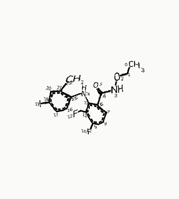 CCONC(=O)c1ccc(F)c(F)c1Nc1ccc(I)cc1C